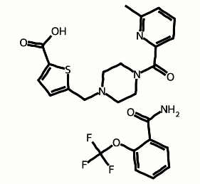 Cc1cccc(C(=O)N2CCN(Cc3ccc(C(=O)O)s3)CC2)n1.NC(=O)c1ccccc1OC(F)(F)F